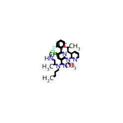 C=CCCN(/C(=N/C)c1cc(Cl)c(-c2ccccc2F)nc1N(C=O)C1N=CC=CC1CC(C)C)C(C)CNC